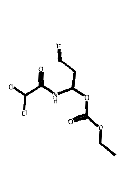 CCOC(=O)OC(CCF)NC(=O)C(Cl)Cl